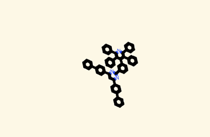 c1ccc(-c2ccc(-c3cc(-c4ccc(-c5ccccc5)cc4)nc(-c4cccc(-c5c(-c6ccccc6)c(-c6ccccc6)nc(-c6ccccc6)c5-c5ccccc5)c4)n3)cc2)cc1